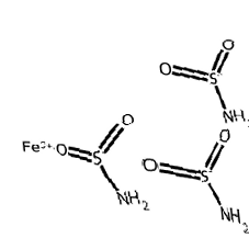 N[S-](=O)=O.N[S-](=O)=O.N[S-](=O)=O.[Fe+3]